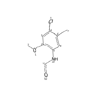 COc1cc(Cl)c(C)cc1NC=O